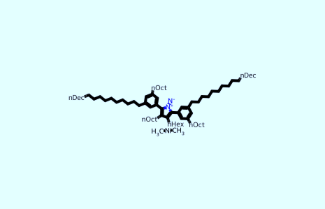 CCCCCCCCCCCCCCCCCCCCc1cc(CCCCCCCC)cc(C2=C(CCCCCC)C(CCCCCCCC)=C(c3cc(CCCCCCCC)cc(CCCCCCCCCCCCCCCCCCCC)c3)[N+]2=[N-])c1.[CH3][Ni][CH3]